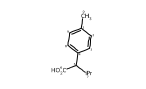 Cc1ccc(C(C(=O)O)C(C)C)cc1